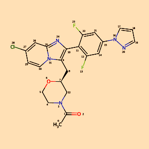 CC(=O)N1CCO[C@@H](Cc2c(-c3c(F)cc(-n4cccn4)cc3F)nc3cc(Cl)ccn23)C1